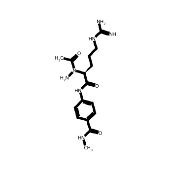 CNC(=O)c1ccc(NC(=O)[C@H](CCCNC(=N)N)N(N)C(C)=O)cc1